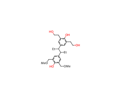 CCC(c1cc(CCO)c(O)c(CCO)c1)C(CC)c1cc(COC)c(O)c(COC)c1